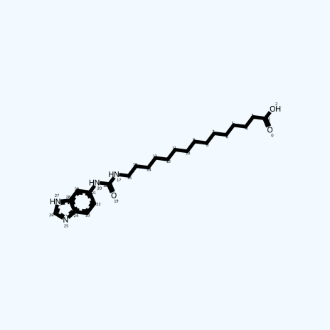 O=C(O)CCCCCCCCCCCCCCNC(=O)Nc1ccc2nc[nH]c2c1